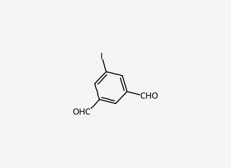 O=Cc1cc(I)cc(C=O)c1